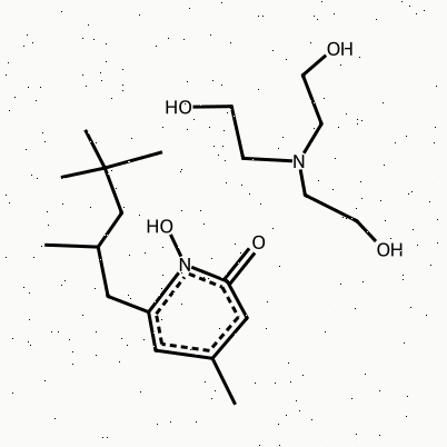 Cc1cc(CC(C)CC(C)(C)C)n(O)c(=O)c1.OCCN(CCO)CCO